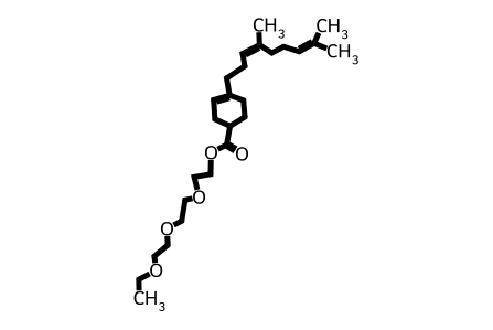 CCOCCOCCOCCOC(=O)C1CC=C(CCC=C(C)CCC=C(C)C)CC1